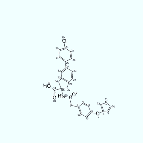 O=C(Cc1ccc(Oc2ccsc2)cc1)NC1(C(=O)O)Cc2ccc(-c3ccc(Cl)cc3)cc2C1